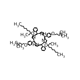 CCCCCCCC(CC)Oc1ccccc1-c1c2nc(c(-c3ccc(OCCCN(C)C)cc3)c3ccc([nH]3)c(-c3ccccc3OC(CC)CCCCCCC)c3nc(c(-c4ccc(OCCCN(C)C)cc4)c4ccc1[nH]4)C=C3)C=C2